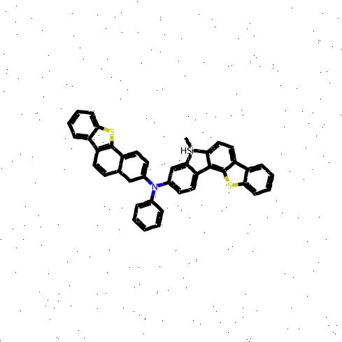 C[SiH]1c2cc(N(C3=CC=C4c5sc6ccccc6c5C=CC4C3)c3ccccc3)ccc2-c2c1ccc1c2sc2ccccc21